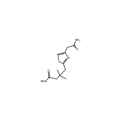 CNC(=O)OC(C)(C)Cc1nc(CC(N)=O)cs1